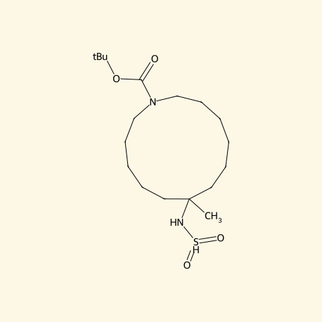 CC1(N[SH](=O)=O)CCCCCCN(C(=O)OC(C)(C)C)CCCCC1